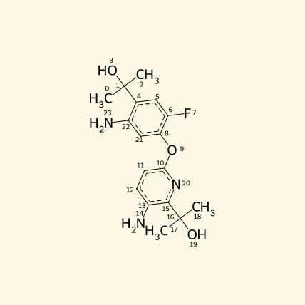 CC(C)(O)c1cc(F)c(Oc2ccc(N)c(C(C)(C)O)n2)cc1N